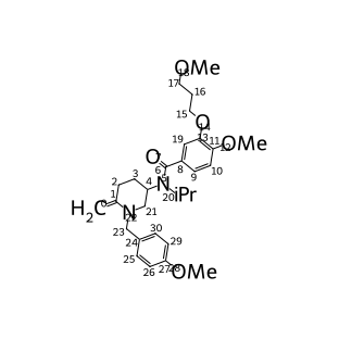 C=C1CCC(N(C(=O)c2ccc(OC)c(OCCCOC)c2)C(C)C)CN1Cc1ccc(OC)cc1